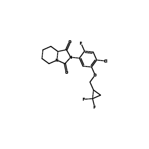 O=C1C2CCCCN2C(=O)N1c1cc(OCC2CC2(F)F)c(Cl)cc1F